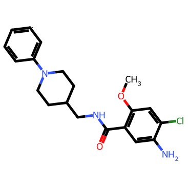 COc1cc(Cl)c(N)cc1C(=O)NCC1CCN(c2c[c]ccc2)CC1